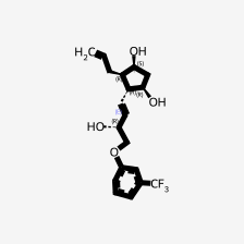 C=CC[C@@H]1[C@@H](/C=C/[C@@H](O)COc2cccc(C(F)(F)F)c2)[C@H](O)C[C@@H]1O